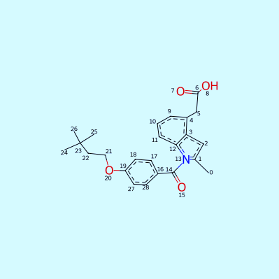 Cc1cc2c(CC(=O)O)cccc2n1C(=O)c1ccc(OCCC(C)(C)C)cc1